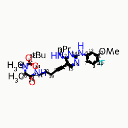 CCCNc1nc(Nc2ccc(F)c(OC)c2)ncc1C#CCCCNC(=O)[C@H](C)N(C)C(=O)OC(C)(C)C